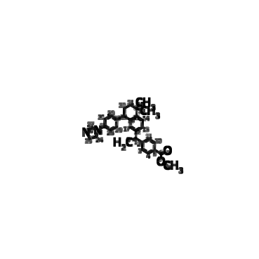 C=C(c1ccc(C(=O)OC)cc1)c1ccc2c(c1)C(c1ccc(-n3ccnc3)cc1)=CCC2(C)C